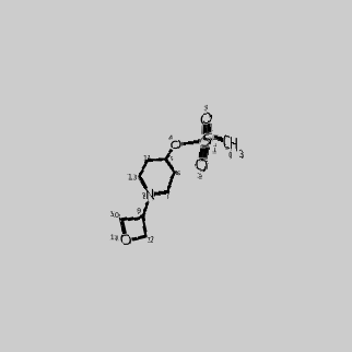 CS(=O)(=O)OC1CCN(C2COC2)CC1